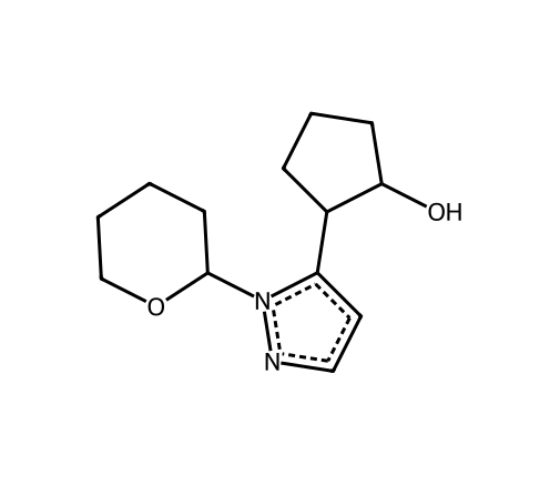 OC1CCCC1c1ccnn1C1CCCCO1